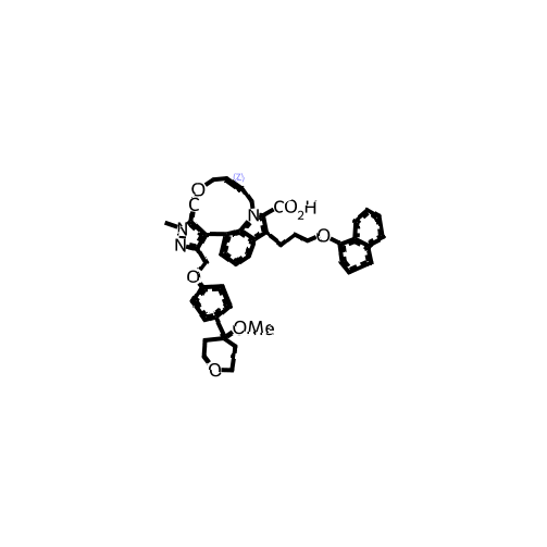 COC1(c2ccc(OCc3nn(C)c4c3-c3cccc5c(CCCOc6cccc7ccccc67)c(C(=O)O)n(c35)C/C=C\COC4)cc2)CCOCC1